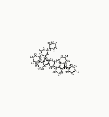 c1ccc(-c2ccc(-c3ccccc3)c(-n3c4ccccc4c4cc(-c5cccc6c5c5ccccc5n6-c5ccccc5)ccc43)c2)cc1